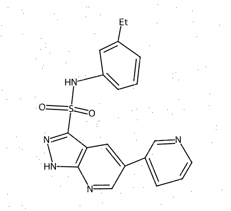 CCc1cccc(NS(=O)(=O)c2n[nH]c3ncc(-c4cccnc4)cc23)c1